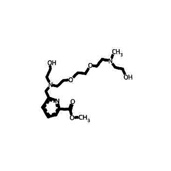 COC(=O)c1cccc(CN(CCO)CCOCCOCCN(C)CCO)n1